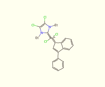 CCn1c(Cl)c(Cl)n(CC)[c]1=[Ru-4]([Cl])([Cl])=[C]1C=C(c2ccccc2)c2ccccc21